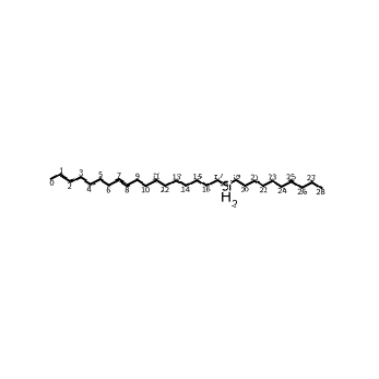 CCCCCCCCCCCCCCCCCC[SiH2]CCCCCCCCCC